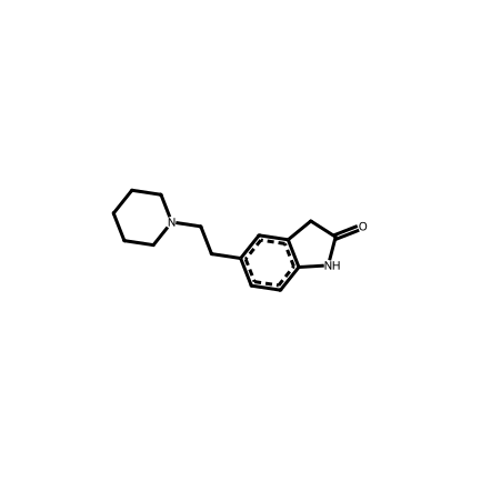 O=C1Cc2cc(CCN3CCCCC3)ccc2N1